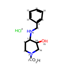 Cl.O=C(O)N1CCC(NCc2ccccc2)C(O)C1